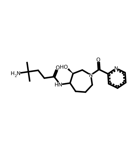 CC(C)(N)CCC(=O)NC1CCCN(C(=O)c2ccccn2)C[C@@H]1O